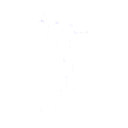 Cn1nc(N2CCC(=O)NC2=O)c2ccc(N3CCN(C(=O)OCc4ccccc4)CC3)cc21